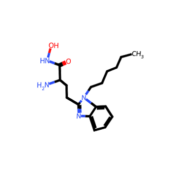 CCCCCCn1c(CCC(N)C(=O)NO)nc2ccccc21